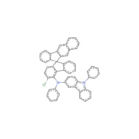 Clc1ccc2c(c1N(c1ccccc1)c1ccc3c(c1)c1ccccc1n3-c1ccccc1)-c1ccccc1C21c2ccccc2-c2cc3ccccc3cc21